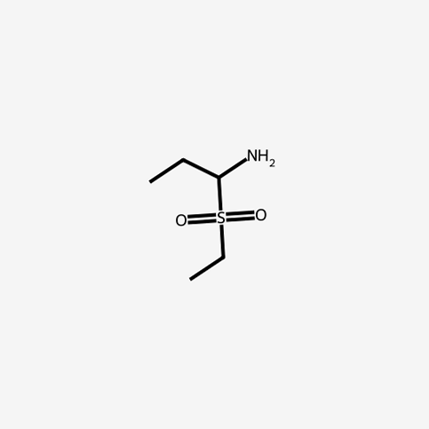 CCC(N)S(=O)(=O)CC